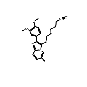 [C-]#[N+]CCCCC[CH]c1c(-c2ccc(OC)c(OC)c2)nc2ccc(C)cn12